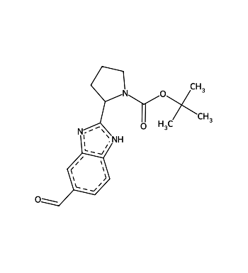 CC(C)(C)OC(=O)N1CCCC1c1nc2cc(C=O)ccc2[nH]1